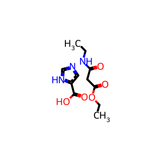 CCNC(=O)CC(=O)OCC.O=C(O)c1cnc[nH]1